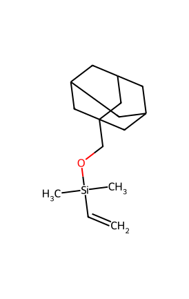 C=C[Si](C)(C)OCC12CC3CC(CC(C3)C1)C2